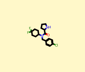 O=C(C1CCCN1)N(Cc1ccc(Cl)cc1)C1CCC(F)(F)CC1